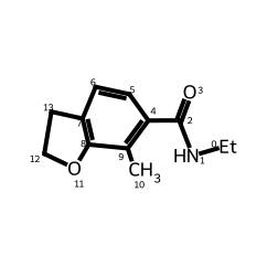 CCNC(=O)c1ccc2c(c1C)OCC2